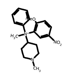 COc1ccc([N+](=O)[O-])cc1[N+](C)(c1ccccc1)C1CCN(C)CC1